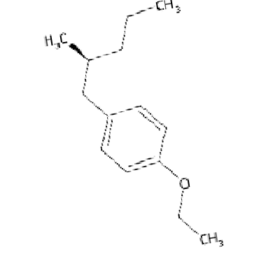 CCC[C@H](C)Cc1ccc(OCC)cc1